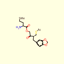 CSCCC(N)C(=O)OCC(=O)[C@@H](CSC(C)=O)Cc1ccc2c(c1)OCO2